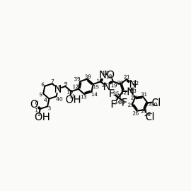 O=C(O)CC1CCCN(CC(O)c2ccc(-c3noc(-c4cnn(-c5ccc(Cl)c(Cl)c5)c4C(F)(F)F)n3)cc2)C1